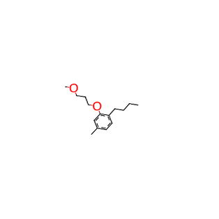 CCCCc1ccc(C)cc1OCCCOC